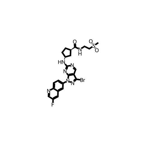 CS(=O)(=O)CCNC(=O)[C@@H]1CC[C@@H](Nc2ncc3c(Br)nn(-c4ccc5ncc(F)cc5c4)c3n2)C1